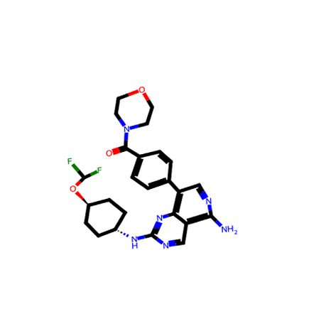 Nc1ncc(-c2ccc(C(=O)N3CCOCC3)cc2)c2nc(N[C@H]3CC[C@H](OC(F)F)CC3)ncc12